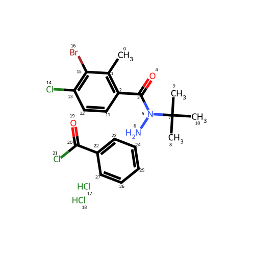 Cc1c(C(=O)N(N)C(C)(C)C)ccc(Cl)c1Br.Cl.Cl.O=C(Cl)c1ccccc1